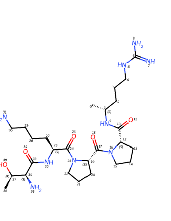 C[C@H](CCCNC(=N)N)NC(=O)[C@@H]1CCCN1C(=O)[C@@H]1CCCN1C(=O)[C@H](CCCCN)NC(=O)[C@@H](N)[C@@H](C)O